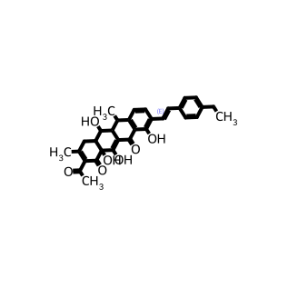 CCc1ccc(/C=C/c2ccc3c(c2O)C(=O)C2=C(O)C4(O)C(=O)C(C(C)=O)=C(C)CC4C(O)C2C3C)cc1